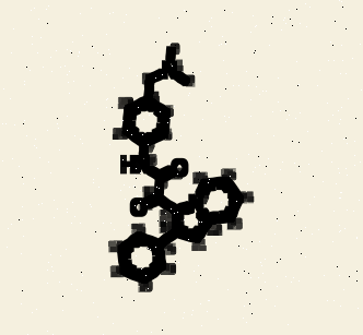 CN(C)Cc1ccc(NC(=O)C(=O)c2c(-c3ccccc3)cc3ccccn23)cc1